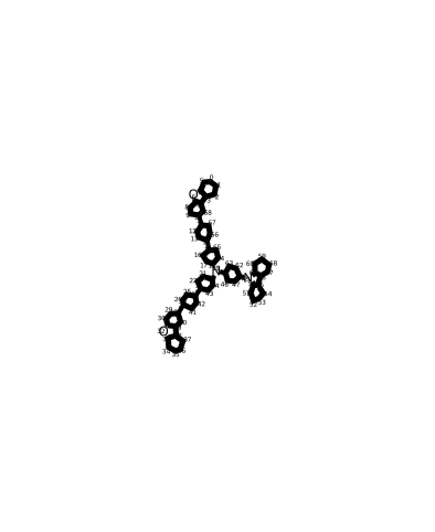 c1ccc2c(c1)oc1ccc(-c3ccc(-c4ccc(N(c5ccc(-c6ccc(-c7ccc8oc9ccccc9c8c7)cc6)cc5)c5ccc(-n6c7ccccc7c7ccccc76)cc5)cc4)cc3)cc12